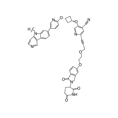 Cn1c2ccncc2c2ccc(-c3ccc(O[C@H]4C[C@H](Oc5cnc(C#CCOCCOc6ccc7c(c6)CN(C6CCC(=O)NC6=O)C7=O)cc5C#N)C4)nc3)cc21